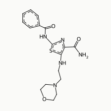 NC(=O)c1nc(NC(=O)c2ccccc2)sc1NCCN1CCOCC1